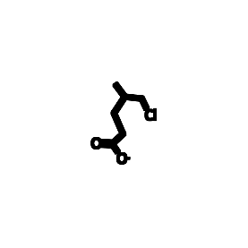 CC(CCl)CCC([O])=O